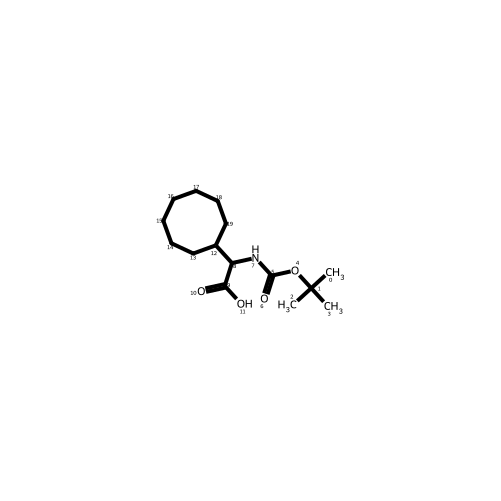 CC(C)(C)OC(=O)NC(C(=O)O)C1CCCCCCC1